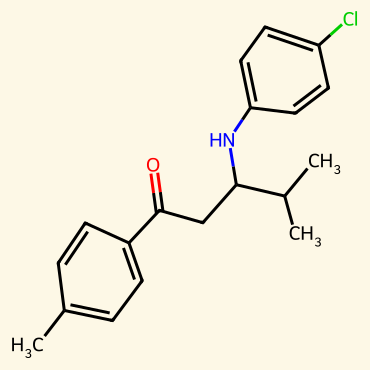 Cc1ccc(C(=O)CC(Nc2ccc(Cl)cc2)C(C)C)cc1